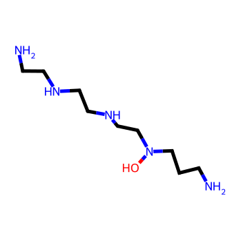 NCCCN(O)CCNCCNCCN